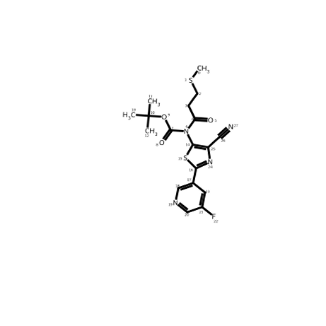 CSCCC(=O)N(C(=O)OC(C)(C)C)c1sc(-c2cncc(F)c2)nc1C#N